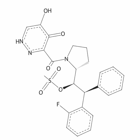 CS(=O)(=O)O[C@H]([C@@H](c1ccccc1)c1ccccc1F)[C@H]1CCCN1C(=O)c1n[nH]cc(O)c1=O